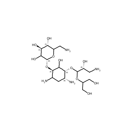 NCC1O[C@H](O[C@@H]2C(N)C[C@@H](N)[C@@H](OC(OC(CO)CO)[C@H](O)CN)C2O)C(O)[C@@H](O)[C@@H]1O